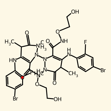 CC1C(=O)N(C)N(N2C(C(=O)NOCCO)=C(Nc3ccc(Br)cc3F)C(C)C(=O)N2C)C(C(=O)NOCCO)=C1Nc1ccc(Br)cc1F